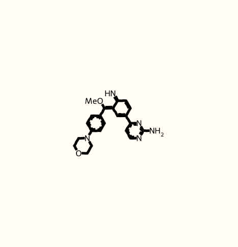 CO/C(=C1/C=C(c2ccnc(N)n2)C=CC1=N)c1ccc(N2CCOCC2)cc1